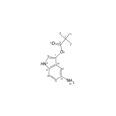 CC(C)(C)C(=O)Oc1c[nH]c2ccc(N)cc12